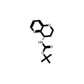 CC(C)(C)OC(=O)N[C@H]1CCOc2cccnc21